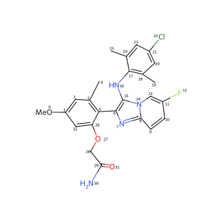 COc1cc(C)c(-c2nc3ccc(F)cn3c2Nc2c(C)cc(Cl)cc2C)c(OCC(N)=O)c1